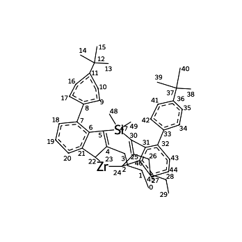 CCCCC1=C2c3c(-c4ccc(C(C)(C)C)cc4)cccc3[CH]1[Zr][CH]1C(CCCC)=C(c3c(-c4ccc(C(C)(C)C)cc4)cccc31)[Si]2(C)C